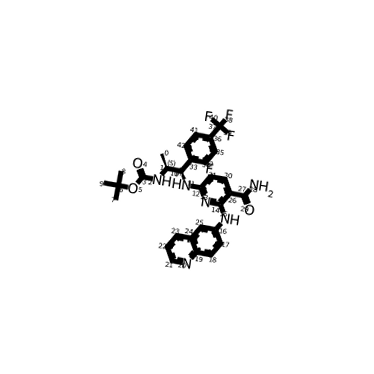 C[C@H](NC(=O)OC(C)(C)C)[C@H](Nc1nc(Nc2ccc3ncccc3c2)c(C(N)=O)cc1F)c1ccc(C(F)(F)F)cc1